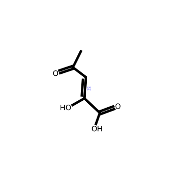 CC(=O)/C=C(\O)C(=O)O